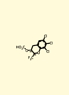 O=C(O)O[C@H]1Cc2cc(Cl)c(Cl)c(Cl)c2O[C@H]1C(F)(F)F